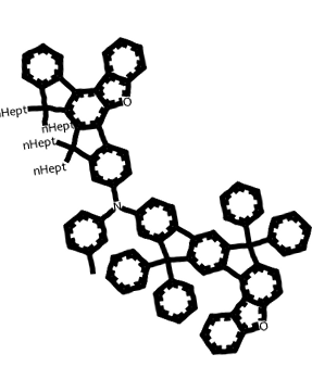 CCCCCCCC1(CCCCCCC)c2cc(N(c3cccc(C)c3)c3ccc4c(c3)C(c3ccccc3)(c3ccccc3)c3cc5c(cc3-4)C(c3ccccc3)(c3ccccc3)c3ccc4oc6ccccc6c4c3-5)ccc2-c2c1c1c(c3c2oc2ccccc23)-c2ccccc2C1(CCCCCCC)CCCCCCC